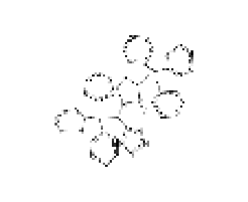 O=C1C([P](c2ccccc2)(c2ccccc2)c2ccccc2)CCN1C(c1nnn[nH]1)C(c1ccccc1)(c1ccccc1)c1ccccc1